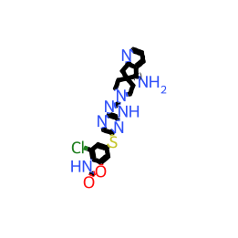 N[C@@H]1c2cccnc2CC12CCN(c1nc3ncc(Sc4cc(Cl)c5[nH]c(=O)oc5c4)nc3[nH]1)CC2